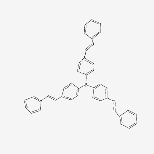 C(=Cc1ccc(P(c2ccc(C=Cc3ccccc3)cc2)c2ccc(C=Cc3ccccc3)cc2)cc1)c1ccccc1